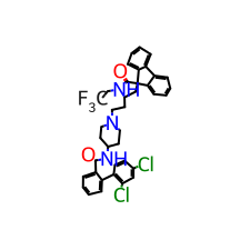 O=C(NC1CCN(CCCCC2(C(=O)NCC(F)(F)F)c3ccccc3-c3ccccc32)CC1)c1ccccc1-c1ccc(Cl)cc1Cl